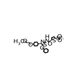 COCCOc1ccc(-c2nc(NC(=O)c3ccc([N+](=O)[O-])s3)sc2Oc2ccccc2)cc1